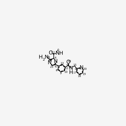 CNC(=O)c1nc(-c2cccc(C(=O)NCc3ccccn3)c2)cnc1N